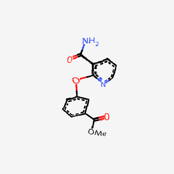 COC(=O)c1cccc(Oc2ncccc2C(N)=O)c1